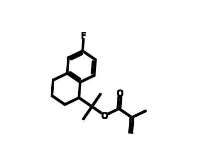 C=C(C)C(=O)OC(C)(C)C1CCCc2cc(F)ccc21